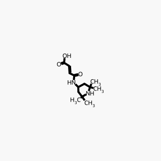 CC1(C)CC(NC(=O)C=CC(=O)O)CC(C)(C)N1